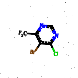 FC(F)(F)c1ncnc(Cl)c1Br